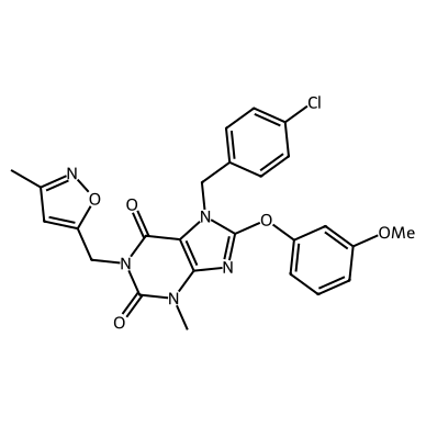 COc1cccc(Oc2nc3c(c(=O)n(Cc4cc(C)no4)c(=O)n3C)n2Cc2ccc(Cl)cc2)c1